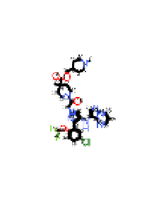 CN1CCC(COC(=O)C2(C)CCN(C(=O)Cn3cc(Nc4cnn5cccnc45)c(-c4cc(Cl)ccc4OC(F)F)n3)CC2)CC1